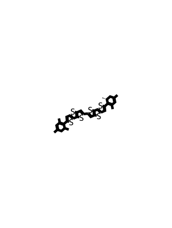 CC1=CC(C)=C(c2cc3sc4cc(-c5cc6sc7cc(C8=C(C)C=C(C)C[C@H]8C)sc7c6s5)sc4c3s2)C(C)C1